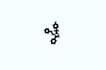 Cc1ccc(C(C)(C)c2nnc(-c3ccccc3)n2CCc2ccccc2)cc1